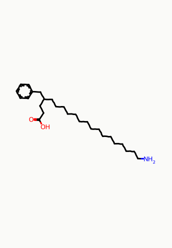 NCCCCCCCCCCCCCCCCC(CCC(=O)O)Cc1ccccc1